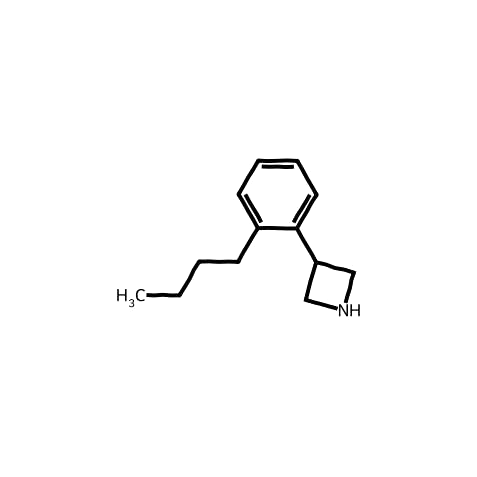 CCCCc1ccccc1C1CNC1